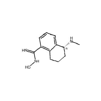 CN[C@@H]1CCCc2c(C(=N)NO)cccc21